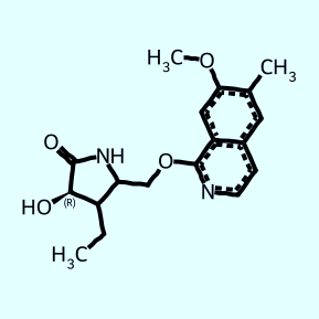 CCC1C(COc2nccc3cc(C)c(OC)cc23)NC(=O)[C@@H]1O